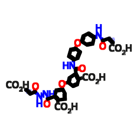 O=C(O)/C=C\C(=O)NNC(=O)c1cc(Oc2ccc(C(=O)O)c(C(=O)Nc3ccc(Oc4ccc(NC(=O)/C=C\C(=O)O)cc4)cc3)c2)ccc1C(=O)O